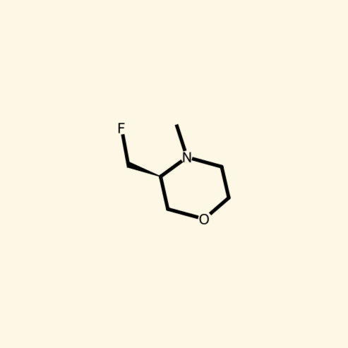 CN1CCOC[C@H]1CF